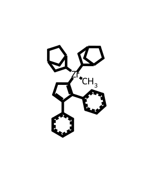 [CH3][Zr]([C]1=C(c2ccccc2)C(c2ccccc2)=CC1)([CH]1CC2CCC1C2)[CH]1CC2CCC1C2